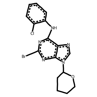 Clc1ccccc1Nc1nc(Br)nc2c1ncn2C1CCCCO1